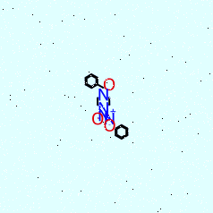 O=C(c1ccccc1)N1CCN(/[N+]([O-])=N/Oc2ccccc2)CC1